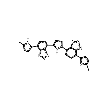 Cc1ccc(-c2ccc(-c3ccc(-c4ccc(-c5ccc(C)s5)c5nsnc45)[nH]3)c3nsnc23)[nH]1